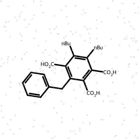 CCCCc1c(CCCC)c(C(=O)O)c(C(=O)O)c(Cc2ccccc2)c1C(=O)O